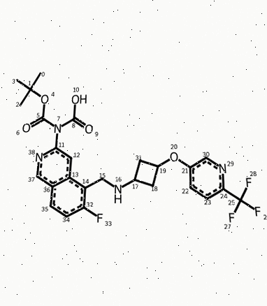 CC(C)(C)OC(=O)N(C(=O)O)c1cc2c(CNC3CC(Oc4ccc(C(F)(F)F)nc4)C3)c(F)ccc2cn1